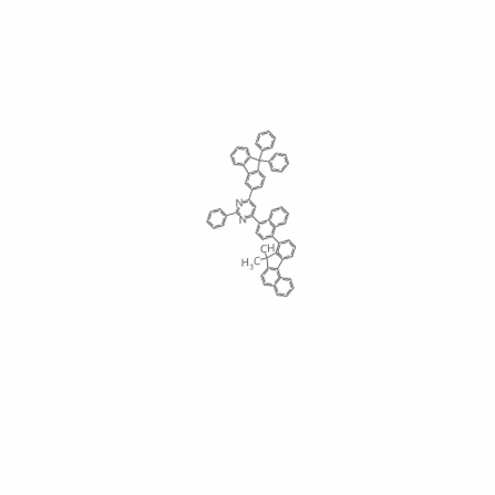 CC1(C)c2ccc3ccccc3c2-c2cccc(-c3ccc(-c4cc(-c5ccc6c(c5)-c5ccccc5C6(c5ccccc5)c5ccccc5)nc(-c5ccccc5)n4)c4ccccc34)c21